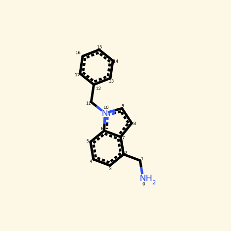 NCc1cccc2c1ccn2Cc1ccccc1